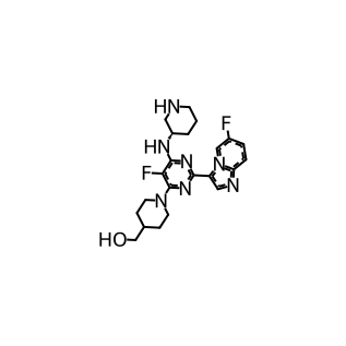 OCC1CCN(c2nc(-c3cnc4ccc(F)cn34)nc(N[C@@H]3CCCNC3)c2F)CC1